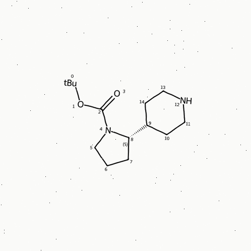 CC(C)(C)OC(=O)N1CCC[C@H]1C1CCNCC1